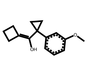 COc1cccc(C2(C(O)=C3CCC3)CC2)c1